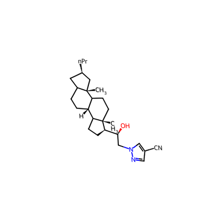 CCC[C@@H]1CC2CC[C@@H]3C(CC[C@@]4(C)C3CC[C@@H]4[C@@H](O)Cn3cc(C#N)cn3)[C@@]2(C)C1